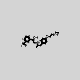 CCNCCOc1ccc(CC(C)NCC(O)c2cccc(C(F)(F)F)c2)cc1